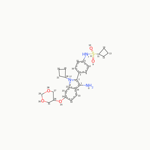 Nc1c(-c2ccc(NS(=O)(=O)C3CCC3)cc2)n(C2CCC2)c2cc(OC3COCOC3)ccc12